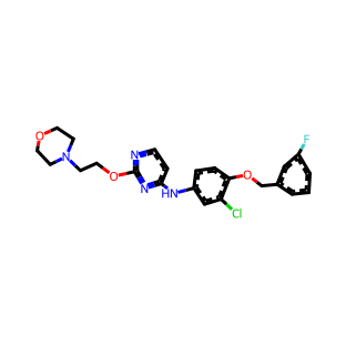 Fc1cccc(COc2ccc(Nc3ccnc(OCCN4CCOCC4)n3)cc2Cl)c1